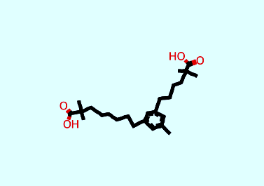 Cc1cc(CCCCCCC(C)(C)C(=O)O)cc(CCCCC(C)(C)C(=O)O)c1